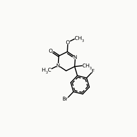 COC1=NC(C)(c2cc(Br)ccc2F)CN(C)C1=O